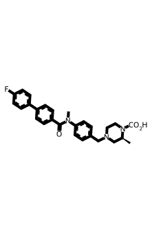 C[C@H]1CN(Cc2ccc(N(C)C(=O)c3ccc(-c4ccc(F)cc4)cc3)cc2)CCN1C(=O)O